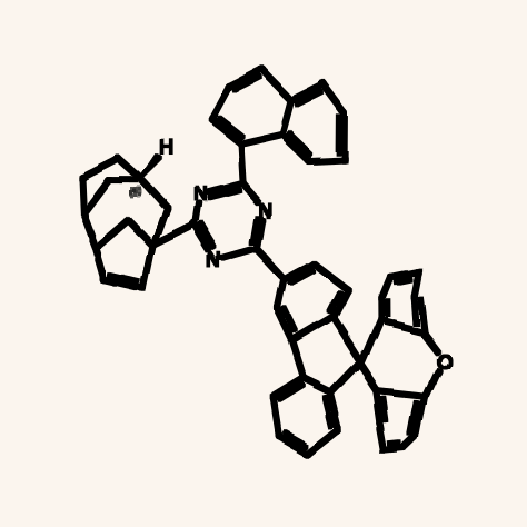 C1=CC2(c3nc(-c4ccc5c(c4)-c4ccccc4C54c5ccccc5Oc5ccccc54)nc(-c4cccc5ccccc45)n3)CC1C1CC[C@@H](C1)C2